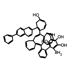 Bc1c(O)c(O)c(O)c(O)c1-c1ccccc1C1=C2C=CC=CCC2C=C(C2=C(c3ccc4cc(-c5ccccc5)ccc4c3)CC(O)=CC=C2)C2=C1C=CCC=C2